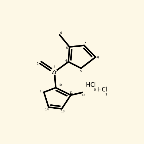 Cl.Cl.[CH2]=[Zr]([C]1=C(C)C=CC1)[C]1=C(C)C=CC1